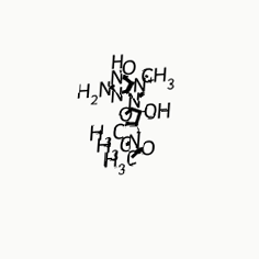 CC(=O)N(C)C[C@H]1[C@@H](O)[C@H](n2c[n+](C)c3c(=O)[nH]c(N)nc32)O[C@@H]1C